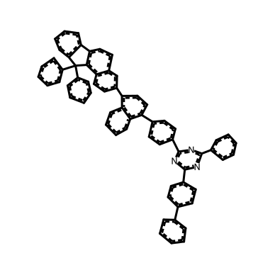 c1ccc(-c2ccc(-c3nc(-c4ccccc4)nc(-c4ccc(-c5ccc(-c6ccc7c8c(ccc7c6)-c6ccccc6C8(c6ccccc6)c6ccccc6)c6ccccc56)cc4)n3)cc2)cc1